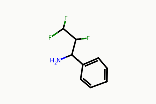 NC(c1ccccc1)C(F)C(F)F